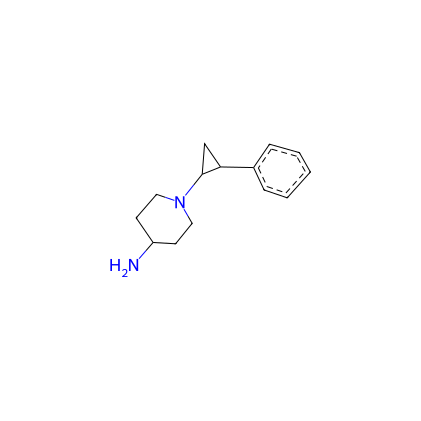 NC1CCN(C2CC2c2ccccc2)CC1